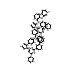 c1ccc(-c2nc(-c3cccc(-c4ccc(-c5nc(-c6ccccc6)nc(-n6ccnc6N(c6ccccc6)c6cccc7c6sc6ccccc67)n5)cc4)c3)nc(-n3ccnc3-c3ccc(N(c4ccccc4)c4ccccc4)cc3)n2)cc1